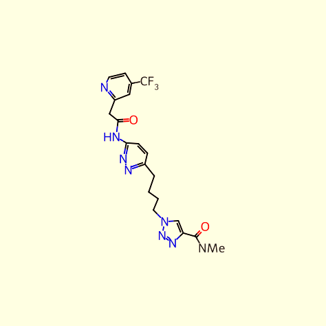 CNC(=O)c1cn(CCCCc2ccc(NC(=O)Cc3cc(C(F)(F)F)ccn3)nn2)nn1